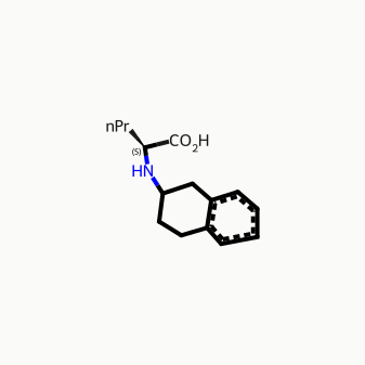 CCC[C@H](NC1CCc2ccccc2C1)C(=O)O